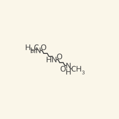 CCNC(=O)CCC(=O)NCCCCC(=O)NC